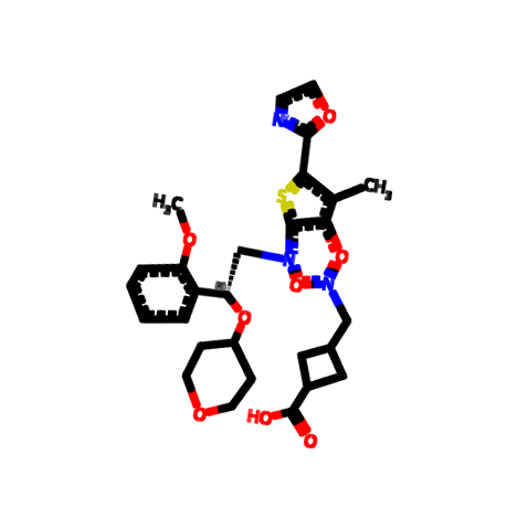 COc1ccccc1[C@H](Cn1on(CC2CC(C(=O)O)C2)oc2c(C)c(-c3ncco3)sc21)OC1CCOCC1